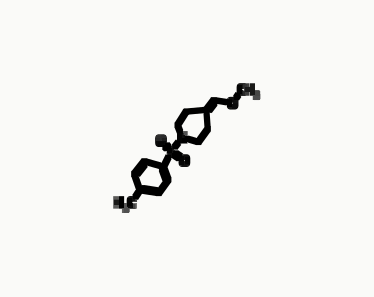 COC=C1CCN(S(=O)(=O)c2ccc(C)cc2)CC1